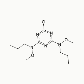 CCCN(OC)c1nc(Cl)nc(N(CCC)OC)n1